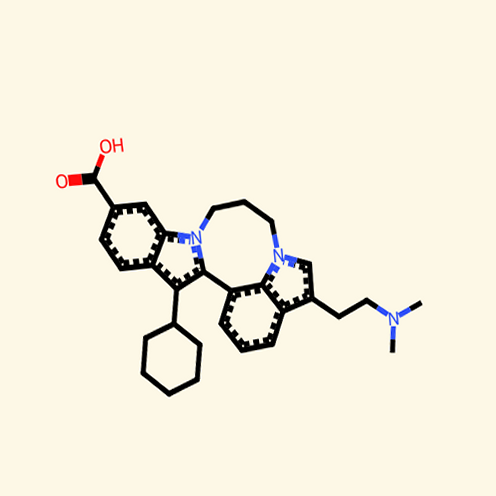 CN(C)CCc1cn2c3c(cccc13)-c1c(C3CCCCC3)c3ccc(C(=O)O)cc3n1CCC2